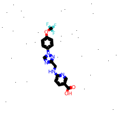 O=C(O)c1ccc(NCc2ncn(-c3ccc(OC(F)(F)F)cc3)n2)nc1